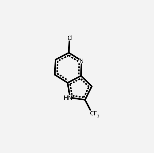 FC(F)(F)c1cc2nc(Cl)ccc2[nH]1